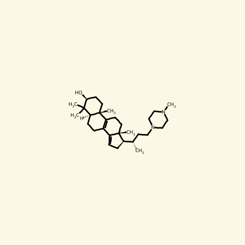 C[C@@H](CCN1CCN(C)CC1)[C@H]1CC=C2C3=C(CC[C@@]21C)[C@@]1(C)CC[C@H](O)C(C)(C)[C@@H]1CC3